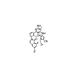 N#Cc1cc(Nc2nc(N)nc(-c3cccc(-n4ccc5cc(C6CC6)cc(F)c5c4=O)c3CO)n2)cn1CC1CC1